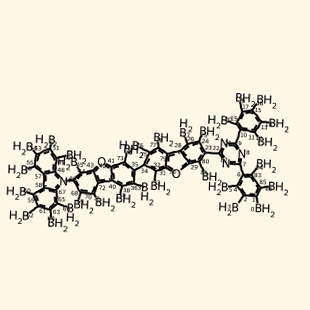 Bc1c(B)c(B)c(-c2nc(-c3c(B)c(B)c(B)c(B)c3B)nc(-c3c(B)c(B)c4c(oc5c(B)c(-c6c(B)c(B)c7c(oc8c(B)c(-n9c%10c(B)c(B)c(B)c(B)c%10c%10c(B)c(B)c(B)c(B)c%109)c(B)c(B)c87)c6B)c(B)c(B)c54)c3B)n2)c(B)c1B